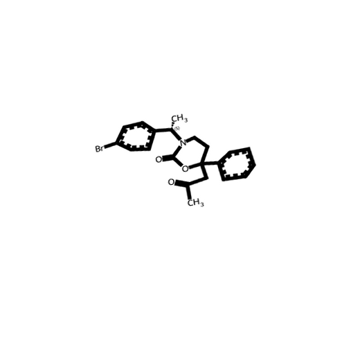 CC(=O)CC1(c2ccccc2)CCN([C@@H](C)c2ccc(Br)cc2)C(=O)O1